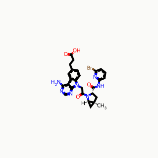 C[C@@]12C[C@@H](C(=O)Nc3cccc(Br)n3)N(C(=O)Cn3c4ccc(CCC(=O)O)cc4c4c(N)ncnc43)[C@@H]1C2